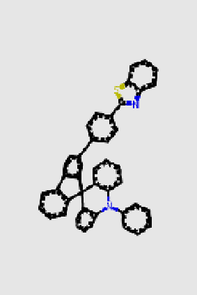 c1ccc(N2c3ccccc3C3(c4ccccc4-c4ccc(-c5ccc(-c6nc7ccccc7s6)cc5)cc43)c3ccccc32)cc1